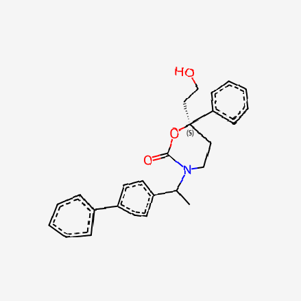 CC(c1ccc(-c2ccccc2)cc1)N1CC[C@](CCO)(c2ccccc2)OC1=O